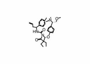 C=CCC(NC(=O)N1C(=O)C(CC)(CC)[C@H]1Oc1ccc([C@@H](COC)N(C)C)cc1)c1ccc(C)cc1